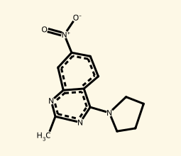 Cc1nc(N2CCCC2)c2ccc([N+](=O)[O-])cc2n1